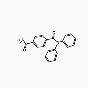 NC(=O)c1ccc(C(=O)N(c2ccccc2)c2ccccc2)cc1